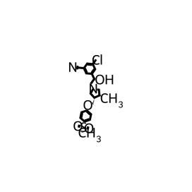 C[C@@H]1CN(CC(O)c2cc(Cl)cc(C#N)c2)C[C@H]1COc1ccc(S(C)(=O)=O)cc1